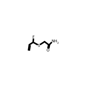 C=CC(F)SCC(N)=O